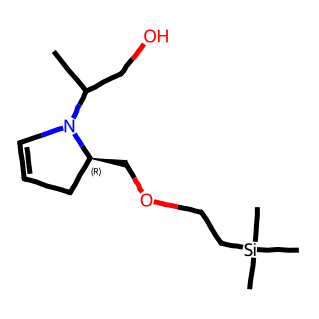 CC(CO)N1C=CC[C@@H]1COCC[Si](C)(C)C